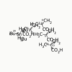 C=C(C)C(=O)O.C=C(C)C(=O)O.C=C(C)C(=O)O.C=C(C)C(=O)O.CC[CH](C)[SnH]([CH](C)CC)[CH](C)CC